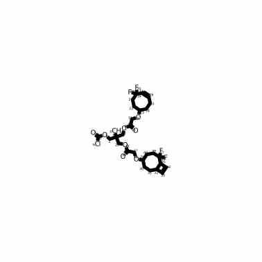 CC(COC(=O)Cl)(COC(=O)COC1CCC#CC(F)(F)CC1)COC(=O)COC1CCC2C=CC2C(F)(F)CC1